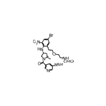 CNc1cncc(C(=O)N2CC(Nc3c(CCOCCNC=O)cc(Br)cc3[N+](=O)[O-])C[C@H]2C)c1